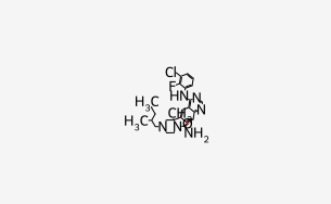 CCCC(C)CN1CCN(C(N)=O)[C@](C)(c2ccc3ncnc(Nc4cccc(Cl)c4F)c3c2)C1